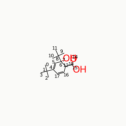 CC(C)(C)C1=CC(O)(C(C)(C)C)C(C(=O)O)C=C1